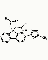 CCCCC(CC)CC1(CC(CC)CCCC)c2ccccc2-c2ccc(-c3nnc(C)o3)cc21